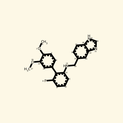 COc1ccc(-c2c(F)cccc2NCc2ccc3[nH]cnc3c2)cc1OC